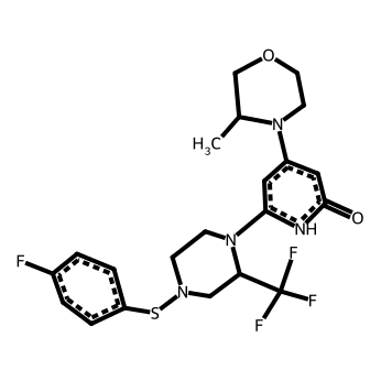 CC1COCCN1c1cc(N2CCN(Sc3ccc(F)cc3)CC2C(F)(F)F)[nH]c(=O)c1